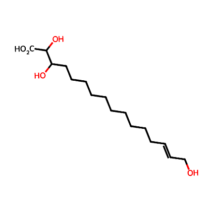 O=C(O)C(O)C(O)CCCCCCCCCCC=CCO